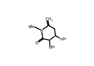 C=C1CC(CCC)C(CCC)C(=O)N1C(C)(C)C